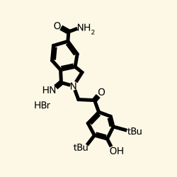 Br.CC(C)(C)c1cc(C(=O)CN2Cc3cc(C(N)=O)ccc3C2=N)cc(C(C)(C)C)c1O